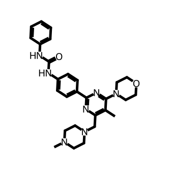 Cc1c(CN2CCN(C)CC2)nc(-c2ccc(NC(=O)Nc3ccccc3)cc2)nc1N1CCOCC1